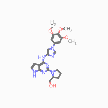 COc1cc(-n2cnc(Nc3nc(N4CCCC4CO)nc4[nH]ccc34)c2)cc(OC)c1OC